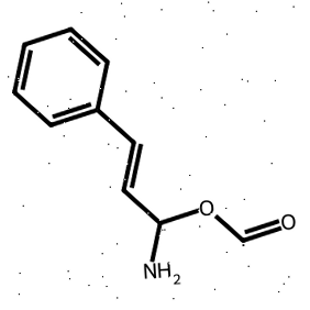 NC(C=Cc1ccccc1)O[C]=O